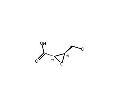 O=C(O)[C@H]1O[C@@H]1CCl